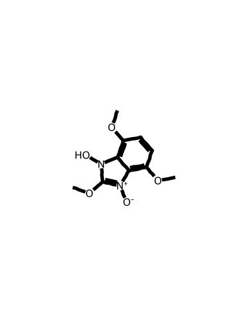 COc1ccc(OC)c2c1n(O)c(OC)[n+]2[O-]